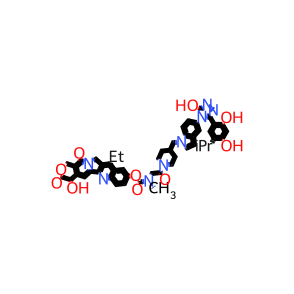 CCc1c2c(nc3ccc(OC(=O)N(C)CC(=O)N4CCC(Cn5ccc6cc(-n7c(O)nnc7-c7cc(C(C)C)c(O)cc7O)ccc65)CC4)cc13)-c1cc3c(c(=O)n1C2)COC(=O)C3O